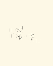 C=C(C)C(=O)Oc1ccc(-c2ccc(-c3ccc(C(=C)C)c(OC(=O)C(=C)C)c3)cc2)cc1OC(=O)C(=C)C